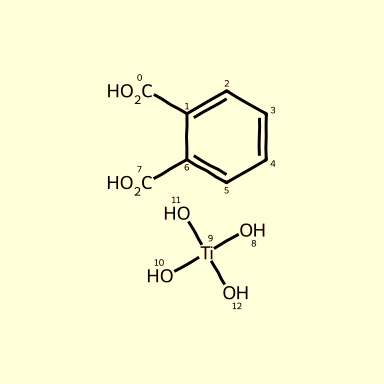 O=C(O)c1ccccc1C(=O)O.[OH][Ti]([OH])([OH])[OH]